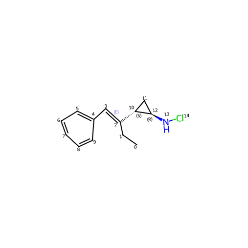 CC/C(=C\c1ccccc1)[C@@H]1C[C@H]1NCl